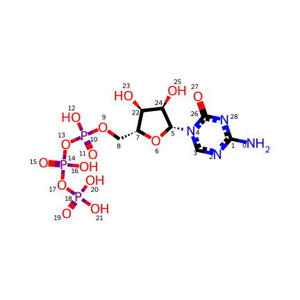 Nc1ncn([C@@H]2O[C@H](COP(=O)(O)OP(=O)(O)OP(=O)(O)O)[C@@H](O)[C@H]2O)c(=O)n1